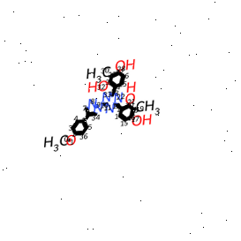 COc1ccc(-c2cnn(-c3nc(-c4ccc(O)c(C)c4O)nc(-c4ccc(O)c(C)c4O)n3)c2)cc1